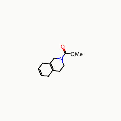 COC(=O)N1CCC2=C(CC=CC2)C1